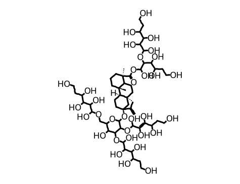 C=C1C[C@@]23CCC4[C@](C)(C(=O)OC(O)C(OC(O)C(O)C(O)C(O)CCO)C(O)C(O)CCO)CCC[C@@]4(C)[C@@H]2CC[C@]1(OC1OC(COC(O)C(O)C(O)C(O)CCO)C(O)C(OC(O)C(O)C(O)C(O)CCO)C1OC(O)/C(O)=C(\O)C(O)CCO)C3